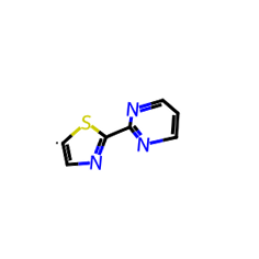 [c]1cnc(-c2ncccn2)s1